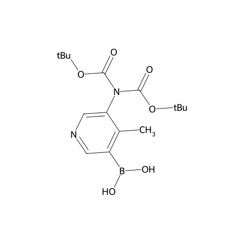 Cc1c(B(O)O)cncc1N(C(=O)OC(C)(C)C)C(=O)OC(C)(C)C